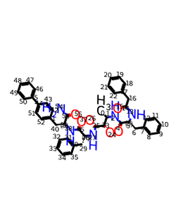 CC(NC(=O)[C@H](Cc1ccccc1)NC(=O)Cc1ccccc1)C(=O)C(=O)N[C@H](Cc1ccccc1)C(=O)N[C@@H](Cc1ccc(-c2ccccc2)cc1)C(N)=O